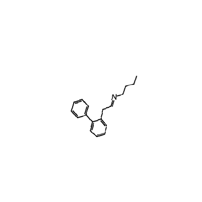 CCCCN=CCc1ccccc1-c1ccccc1